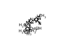 Cc1cn2cc(-c3ncc4nc(N(C)[C@@H]5CC(C)(C)NC(C)(C)[C@@H]5F)sc4n3)cc(C#N)c2n1.Cl